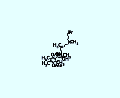 COc1c(C)c(C)c(OC)c(C(O)C[C@@](C)(O)CCC[C@H](C)CCC[C@H](C)CCCC(C)C)c1C